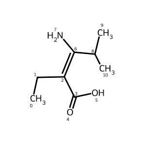 CCC(C(=O)O)=C(N)C(C)C